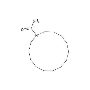 CC(=O)N1CCCCCCCCCCCCC1